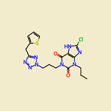 CCCn1c(=O)n(CCCn2nnc(Cc3cccs3)n2)c(=O)c2[nH]c(Cl)nc21